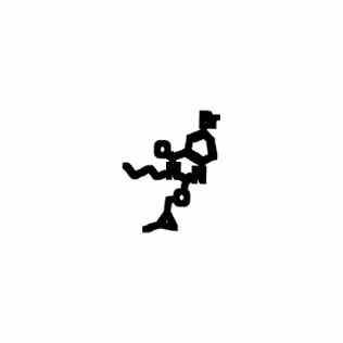 CCCCn1c(OCC2CC2C)nc2ccc(Br)cc2c1=O